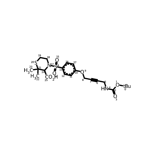 CC(C)(C)OC(=O)NCC#CCOc1ccc(S(=O)(=O)N2CCSC(C)(C)C2C(=O)O)cc1